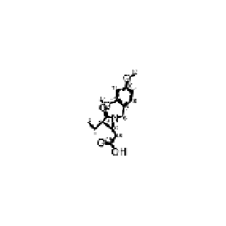 CCC1C(=O)N(Cc2ccc(OC)cc2OC)C1CC(=O)O